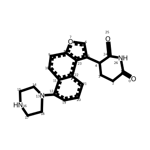 O=C1CCC(c2coc3ccc4c(N5CCNCC5)cccc4c23)C(=O)N1